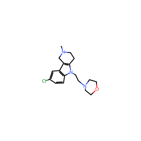 CN1CCc2c(c3cc(Cl)ccc3n2CCN2CCOCC2)C1